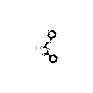 CC(CNc1cccnc1)OC(=O)c1ccccc1